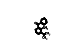 CC(C)c1cccc(C(=O)c2ccccc2)c1N